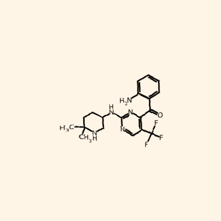 CC1(C)CCC(Nc2ncc(C(F)(F)F)c(C(=O)c3ccccc3N)n2)CN1